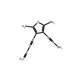 B/B=B\c1c(B)oc(B)c1/B=B\B=C